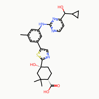 Cc1cc(Nc2nccc(C(O)C3CC3)n2)cc(-c2cnc([C@@]3(O)CC[C@H](C(=O)O)C(C)(C)C3)s2)c1